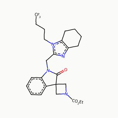 CCOC(=O)N1CC2(C1)C(=O)N(Cc1nc3c(n1CCCC(F)(F)F)CCCC3)c1ccccc12